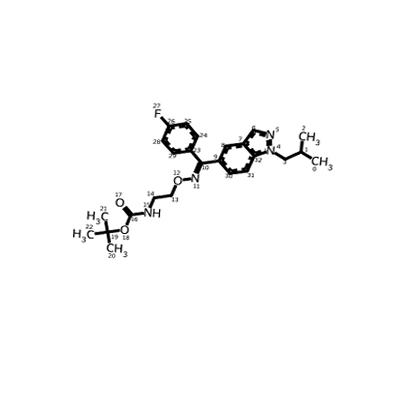 CC(C)Cn1ncc2cc(C(=NOCCNC(=O)OC(C)(C)C)c3ccc(F)cc3)ccc21